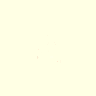 COc1ccc2cc(O)cc(C(=O)O)c2c1